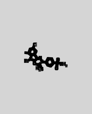 CCN1C(=O)/C(=N\N(C(N)=S)c2ccc(S(N)(=O)=O)cc2)c2cc(Cl)cc(C)c21